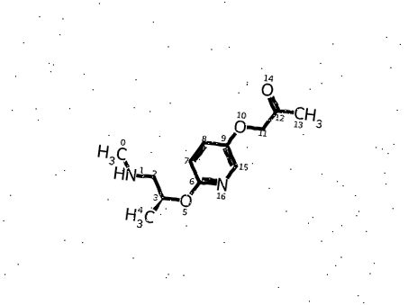 CNC[C@H](C)Oc1ccc(OCC(C)=O)cn1